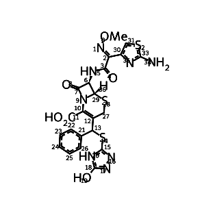 CON=C(C(=O)N[C@@H]1C(=O)N2C(C(=O)O)=C(C(Sc3nnc(O)[nH]3)c3ccccc3)CS[C@@H]12)c1csc(N)n1